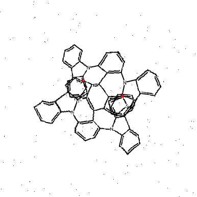 Cc1c(C)c(-c2c(-n3c4ccccc4c4ccccc43)cccc2-n2c3ccccc3c3ccccc32)c2nsnc2c1-c1c(-n2c3ccccc3c3ccccc32)cccc1-n1c2ccccc2c2ccccc21